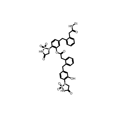 CCNC(=O)Cc1ccccc1Cc1ccc(N2CC(=O)NS2(=O)=O)c(OC(=O)Cc2ccccc2Cc2ccc(N3CC(=O)NS3(=O)=O)c(O)c2)c1